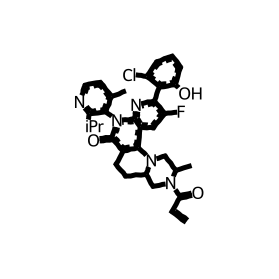 C=CC(=O)N1CC2CCc3c(c4cc(F)c(-c5c(O)cccc5Cl)nc4n(-c4c(C)ccnc4C(C)C)c3=O)N2CC1C